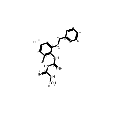 Cl.N=C(NC(=N)Nc1c(F)cccc1OCc1ccccc1)NC(=O)O